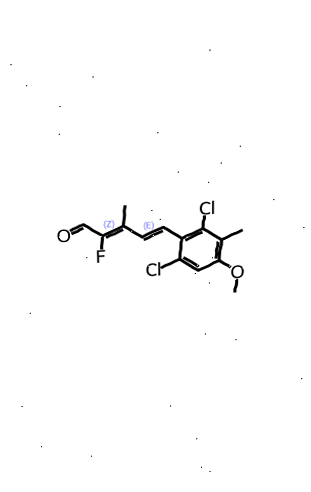 COc1cc(Cl)c(/C=C/C(C)=C(\F)C=O)c(Cl)c1C